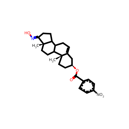 C[C@]12CC[C@H](OC(=O)c3ccc([N+](=O)[O-])cc3)CC1=CCC1C2CC[C@]2(C)C(=NO)CCC12